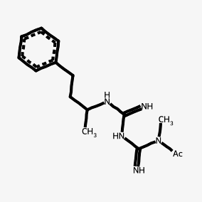 CC(=O)N(C)C(=N)NC(=N)NC(C)CCc1ccccc1